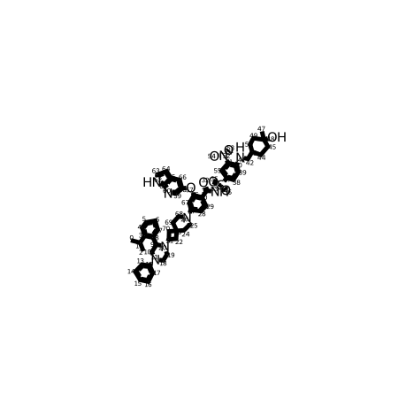 CC(C)c1ccccc1C1CN(c2ccccc2)CCN1C1CC2(CCN(c3ccc(C(=O)NS(=O)(=O)c4ccc(NCC5CCC(C)(O)CC5)c([N+](=O)[O-])c4)c(Oc4cnc5[nH]ccc5c4)c3)CC2)C1